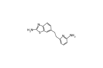 Nc1cccc(CCc2ccc3nc(N)sc3c2)n1